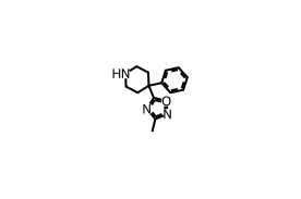 Cc1noc(C2(c3ccccc3)CCNCC2)n1